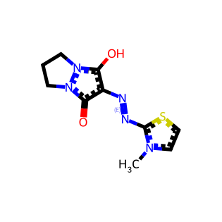 C[n+]1ccsc1/N=N/c1c(O)n2n(c1=O)CCC2